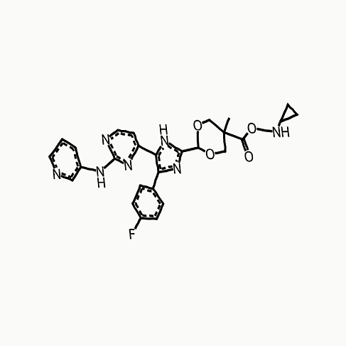 CC1(C(=O)ONC2CC2)COC(c2nc(-c3ccc(F)cc3)c(-c3ccnc(Nc4cccnc4)n3)[nH]2)OC1